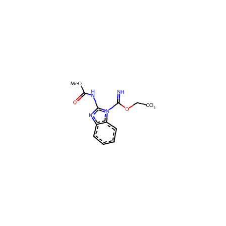 COC(=O)Nc1nc2ccccc2n1C(=N)OCC(Cl)(Cl)Cl